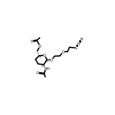 CC(=O)N[C@@H]1[CH][CH][C@H](COC(C)=O)O[C@H]1OCCOCCN=[N+]=[N-]